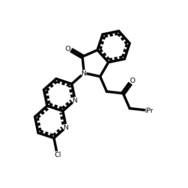 CC(C)CC(=O)CC1c2ccccc2C(=O)N1c1ccc2ccc(Cl)nc2n1